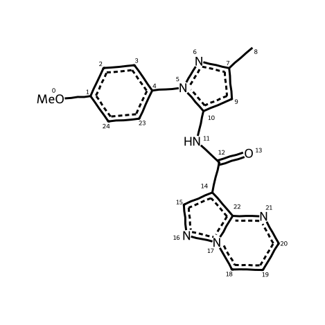 COc1ccc(-n2nc(C)cc2NC(=O)c2cnn3cccnc23)cc1